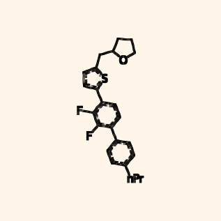 CCCc1ccc(-c2ccc(-c3ccc(CC4CCCO4)s3)c(F)c2F)cc1